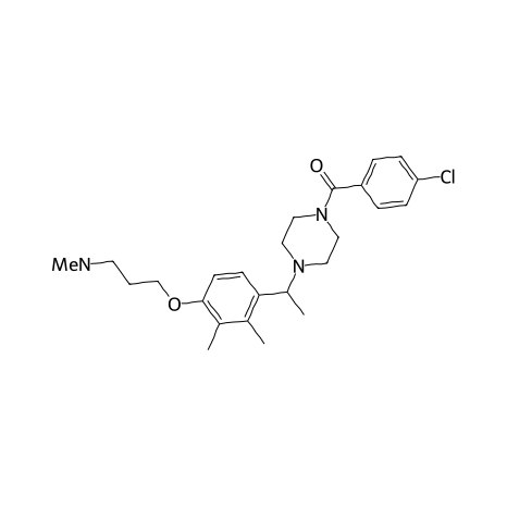 CNCCCOc1ccc(C(C)N2CCN(C(=O)c3ccc(Cl)cc3)CC2)c(C)c1C